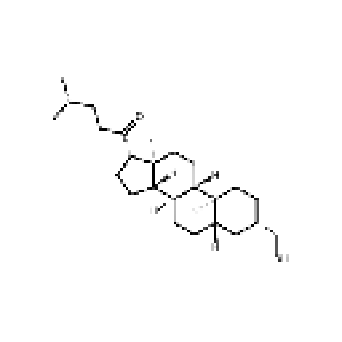 CN(C)CCC(=O)[C@H]1CC[C@H]2[C@@H]3CC[C@H]4C[C@@H](CO)CC[C@]4(C)[C@H]3CC[C@]12C